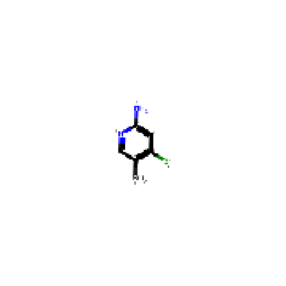 Nc1cc(Br)c([N+](=O)[O-])cn1